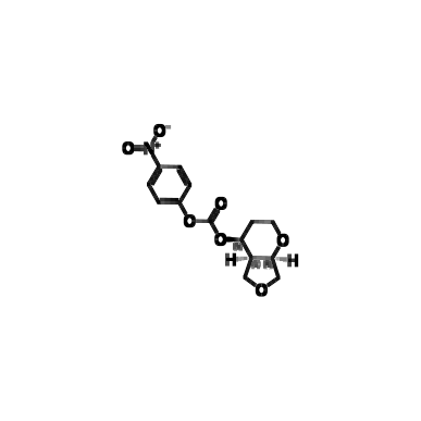 O=C(Oc1ccc([N+](=O)[O-])cc1)O[C@H]1CCO[C@H]2COC[C@H]21